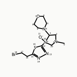 CN1CC(N2CCOCC2)[N+]([O-])(c2nnc(CCBr)s2)C1